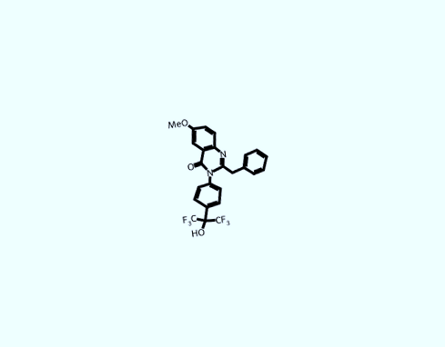 COc1ccc2nc(Cc3ccccc3)n(-c3ccc(C(O)(C(F)(F)F)C(F)(F)F)cc3)c(=O)c2c1